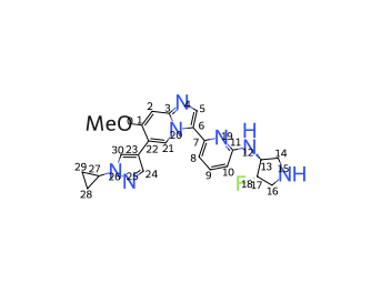 COc1cc2ncc(-c3cccc(N[C@H]4CNC[C@@H]4F)n3)n2cc1-c1cnn(C2CC2)c1